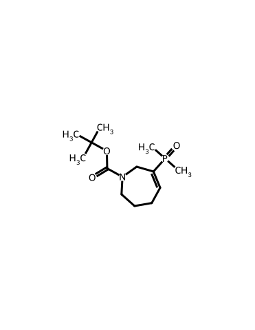 CC(C)(C)OC(=O)N1CCCC=C(P(C)(C)=O)C1